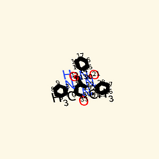 Cc1c(Nc2ccccc2)c2c(=O)n(-c3ccccc3)c(=O)n(-c3ccccc3)c2n(C)c1=O